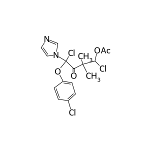 CC(=O)OC(Cl)C(C)(C)C(=O)C(Cl)(Oc1ccc(Cl)cc1)n1ccnc1